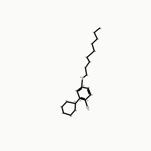 CCCCCCCCCSc1ccc([O])c(C2CCCCC2)c1